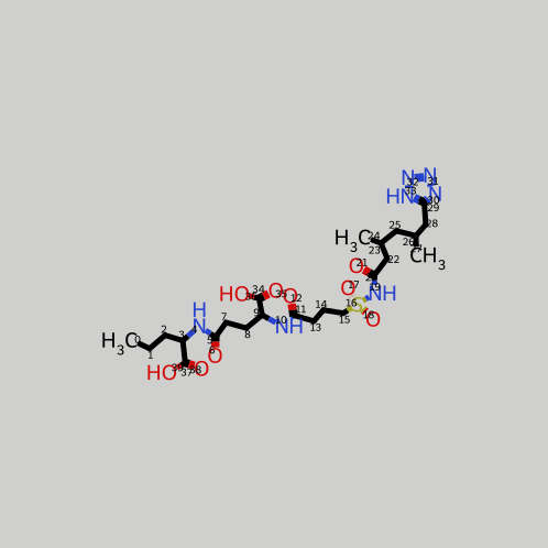 CCCC(NC(=O)CCC(NC(=O)CCCS(=O)(=O)NC(=O)CC(C)CC(C)Cc1nnn[nH]1)C(=O)O)C(=O)O